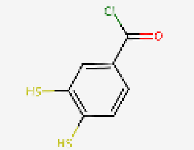 O=C(Cl)c1ccc(S)c(S)c1